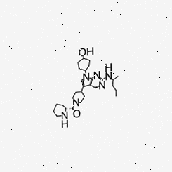 CCC[C@H](C)Nc1ncc2c(C3CCN(C(=O)[C@H]4CCCCN4)CC3)cn(C3CCC(O)CC3)c2n1